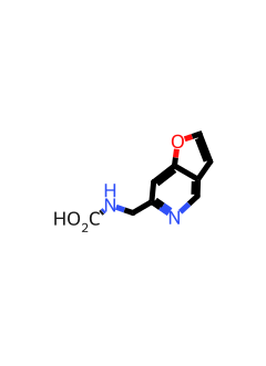 O=C(O)NCc1cc2occc2cn1